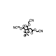 CS(=O)(=O)OC(CC(=O)OCC#N)(CC(=O)OCC#N)C(=O)OCC#N